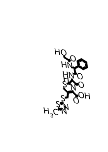 Cc1nnc(SCC2=C(C(=O)O)N3C(=O)C(NC(=O)C(NC(=O)CO)c4ccccc4)[C@@H]3SC2)s1